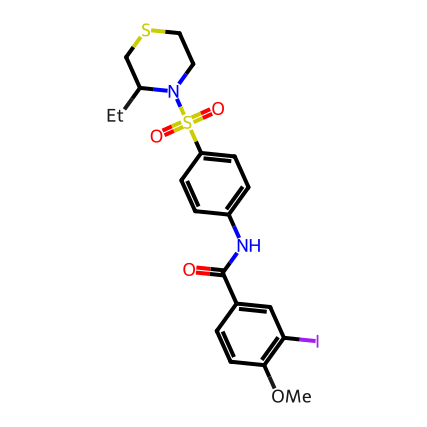 CCC1CSCCN1S(=O)(=O)c1ccc(NC(=O)c2ccc(OC)c(I)c2)cc1